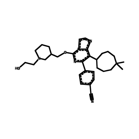 CC1(C)CCCC(c2c(-c3ccc(C#N)cc3)nc(OCC3CCCN(CCO)C3)n3ccnc23)CCC1